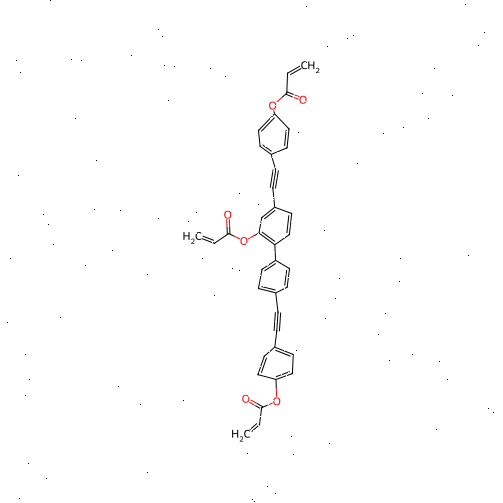 C=CC(=O)Oc1ccc(C#Cc2ccc(-c3ccc(C#Cc4ccc(OC(=O)C=C)cc4)cc3OC(=O)C=C)cc2)cc1